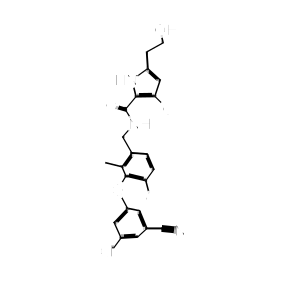 N#Cc1cc(Cl)cc(Oc2c(Cl)ccc(CNC(=O)c3[nH]c(CCO)cc3Cl)c2F)c1